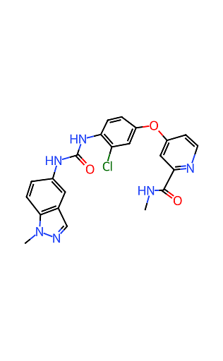 CNC(=O)c1cc(Oc2ccc(NC(=O)Nc3ccc4c(cnn4C)c3)c(Cl)c2)ccn1